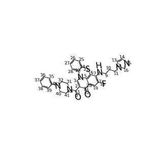 O=C(c1cn2c3c(c(NCCCn4ccnc4)c(F)cc3c1=O)Sc1ccccc1-2)N1CCN(c2ccccc2)CC1